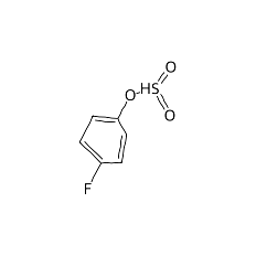 O=[SH](=O)Oc1ccc(F)cc1